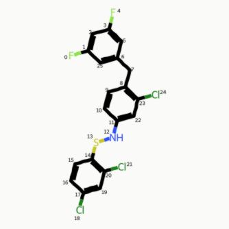 Fc1cc(F)cc(Cc2ccc(NSc3ccc(Cl)cc3Cl)cc2Cl)c1